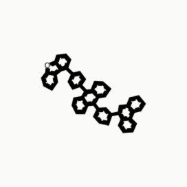 c1cc(-c2c3ccccc3c(-c3ccc(-c4cccc5oc6ccccc6c45)cc3)c3ccccc23)cc(-c2cc3ccccc3c3ccccc23)c1